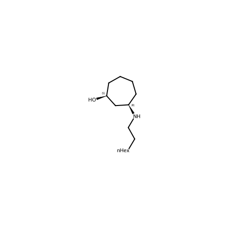 CCCCCCCCN[C@@H]1CCCC[C@H](O)C1